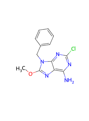 COc1nc2c(N)nc(Cl)nc2n1Cc1ccccc1